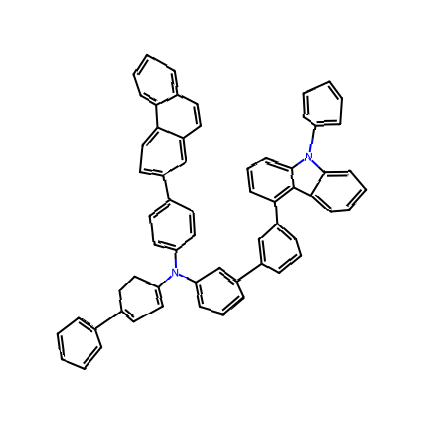 C1=C(c2ccccc2)CCC(N(c2ccc(-c3ccc4c(ccc5ccccc54)c3)cc2)c2cccc(-c3cccc(-c4cccc5c4c4ccccc4n5-c4ccccc4)c3)c2)=C1